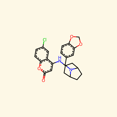 O=c1cc(NC2CC3CCC(C2)N3Cc2ccc3c(c2)OCO3)c2cc(Cl)ccc2o1